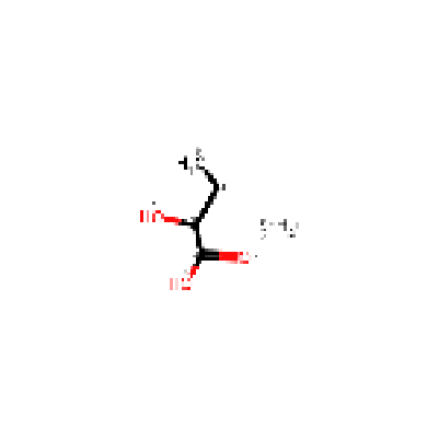 CCC(O)C(=O)O.[SnH2]